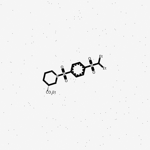 CCOC(=O)[C@@H]1CCCN(S(=O)(=O)c2ccc(S(=O)(=O)C(CC)CC)cc2)C1